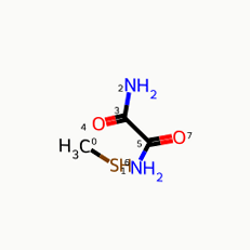 CS.NC(=O)C(N)=O